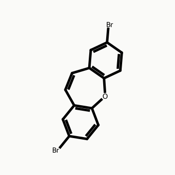 Brc1ccc2c(c1)C=Cc1cc(Br)ccc1O2